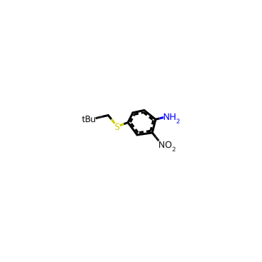 CC(C)(C)CSc1ccc(N)c([N+](=O)[O-])c1